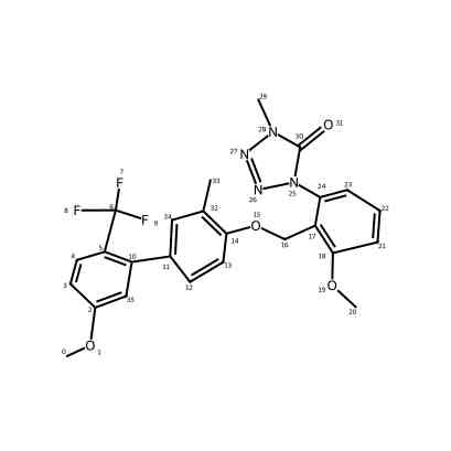 COc1ccc(C(F)(F)F)c(-c2ccc(OCc3c(OC)cccc3-n3nnn(C)c3=O)c(C)c2)c1